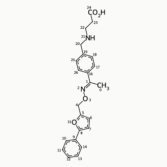 C/C(=N\OCc1ccc(-c2ccccc2)o1)c1ccc(CNCCC(=O)O)cc1